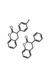 O=C1Oc2ccccc2CC1c1ccc(F)cc1.O=C1Oc2ccccc2CC1c1ccccc1